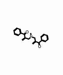 C=C(CN(C)CC(=C)C(=O)c1ccccc1)C(=O)c1ccccc1